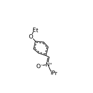 CCOc1ccc(C=[N+]([O-])C(C)C)cc1